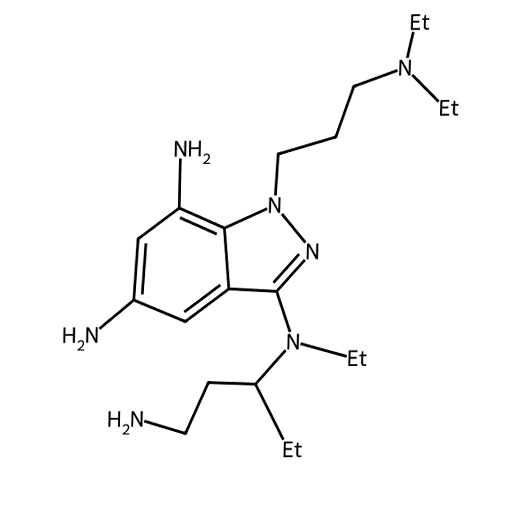 CCC(CCN)N(CC)c1nn(CCCN(CC)CC)c2c(N)cc(N)cc12